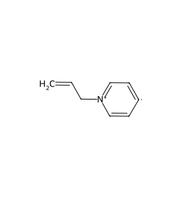 C=CC[n+]1cc[c]cc1